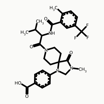 Cc1ccc(C(F)(F)F)cc1C(=O)NC(C(=O)N1CCC2(CC1)C(=O)N(C)CN2c1ccc(C(=O)O)cc1)C(C)C